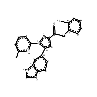 Cc1cccc(-n2nc(C(=O)Nc3ccccc3F)cc2-c2ccc3ncoc3c2)n1